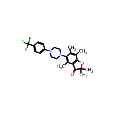 Cc1c(C)c(N2CCN(c3ccc(C(F)(F)F)cc3)CC2)c(C)c2c1OC(C)(C)C2=O